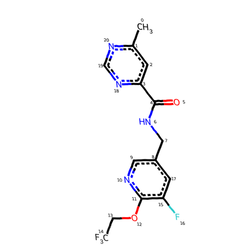 Cc1cc(C(=O)NCc2cnc(OCC(F)(F)F)c(F)c2)ncn1